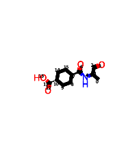 CC(C=O)NC(=O)[C@H]1CC[C@H](C(=O)O)CC1